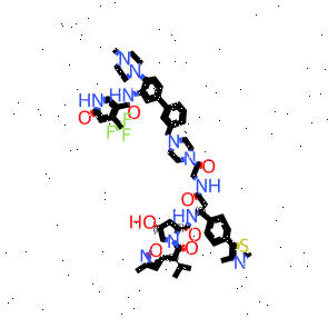 Cc1cc([C@H](C(=O)N2C[C@H](O)C[C@H]2C(=O)N[C@@H](CC(=O)NCC(=O)N2CCN(Cc3cccc(-c4ccc(N5CCN(C)CC5)c(NC(=O)c5c[nH]c(=O)cc5C(F)(F)F)c4)c3)CC2)c2ccc(-c3scnc3C)cc2)C(C)C)on1